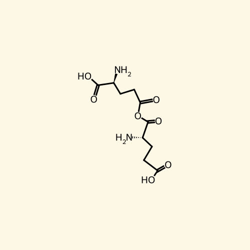 N[C@@H](CCC(=O)OC(=O)[C@@H](N)CCC(=O)O)C(=O)O